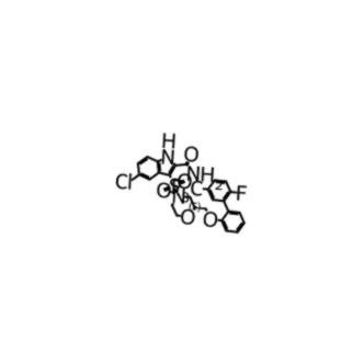 NC(=O)c1[nH]c2ccc(Cl)cc2c1S(=O)(=O)N1CCO[C@H](COc2ccccc2-c2cc(C(F)(F)F)ccc2F)C1